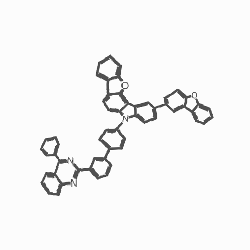 c1ccc(-c2nc(-c3cccc(-c4ccc(-n5c6ccc(-c7ccc8oc9ccccc9c8c7)cc6c6c7oc8ccccc8c7ccc65)cc4)c3)nc3ccccc23)cc1